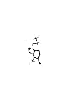 C[C@@H](n1ccc2c(C(F)(F)F)c(C#N)ccc21)C(C)(O)C(F)(F)F